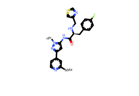 CCCn1nc(-c2ccnc(NC)c2)cc1NC(=O)[C@H](Cc1ccc(F)cc1)NCc1cscn1